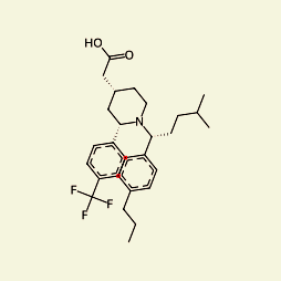 CCCc1ccc([C@@H](CCC(C)C)N2CC[C@@H](CC(=O)O)C[C@H]2c2ccc(C(F)(F)F)cc2)cc1